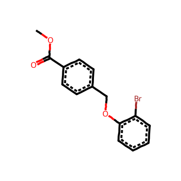 COC(=O)c1ccc(COc2ccccc2Br)cc1